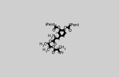 CCCC(C)C(=O)Oc1ccc(C[C@H](N)C(=O)O[C@@H](C)C(C)OC(=O)C(C)C(C)C)cc1OC(=O)C(C)CCC